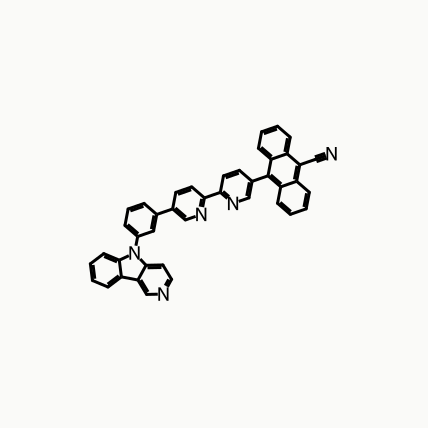 N#Cc1c2ccccc2c(-c2ccc(-c3ccc(-c4cccc(-n5c6ccccc6c6cnccc65)c4)cn3)nc2)c2ccccc12